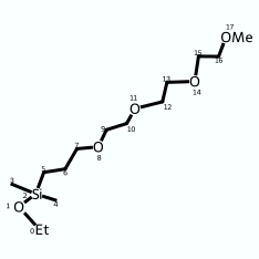 CCO[Si](C)(C)CCCOCCOCCOCCOC